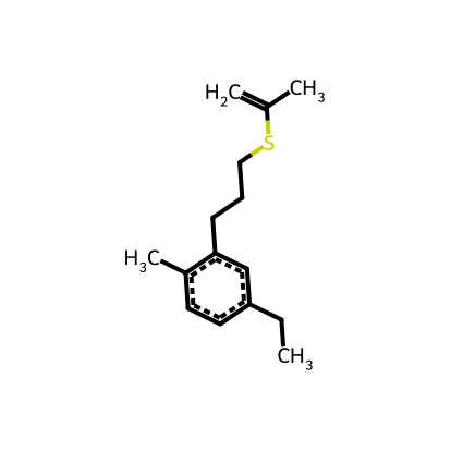 C=C(C)SCCCc1cc(CC)ccc1C